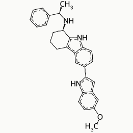 COc1ccc2[nH]c(-c3ccc4[nH]c5c(c4c3)CCC[C@H]5N[C@H](C)c3ccccc3)cc2c1